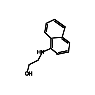 OCCNc1[c]ccc2ccccc12